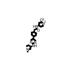 C=C/C(=C\N(C)C)Nc1ncc(-c2ccc(CC(=O)Nc3ccnc(C(F)(F)F)c3)cc2)cn1